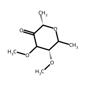 COC1C(=O)[C@H](C)OC(C)[C@@H]1OC